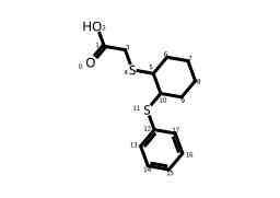 O=C(O)CSC1CCCCC1Sc1ccccc1